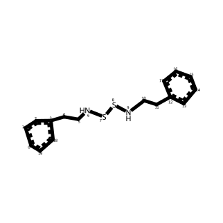 c1ccc(CCNSSNCCc2ccccc2)cc1